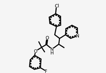 CC(NC(=O)C(C)(C)Oc1cccc(F)c1)C(Cc1ccc(Cl)cc1)c1cccnc1